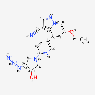 CCOc1cc(-c2ccc(N3C[C@@H](O)[C@H](N=[N+]=[N-])C3)nc2)c2c(C#N)cnn2c1